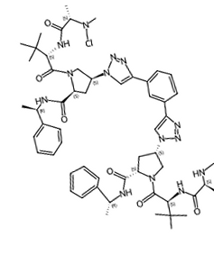 CN[C@@H](C)C(=O)N[C@H](C(=O)N1C[C@@H](n2cc(-c3cccc(-c4cn([C@H]5C[C@@H](C(=O)N[C@H](C)c6ccccc6)N(C(=O)[C@@H](NC(=O)[C@H](C)N(C)Cl)C(C)(C)C)C5)nn4)c3)nn2)C[C@H]1C(=O)N[C@H](C)c1ccccc1)C(C)(C)C